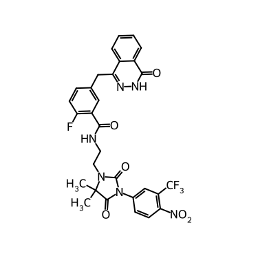 CC1(C)C(=O)N(c2ccc([N+](=O)[O-])c(C(F)(F)F)c2)C(=O)N1CCNC(=O)c1cc(Cc2n[nH]c(=O)c3ccccc23)ccc1F